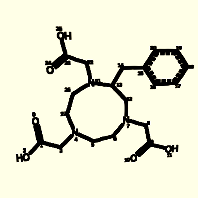 O=C(O)CN1CCN(CC(=O)O)CC(Cc2ccccc2)N(CC(=O)O)CC1